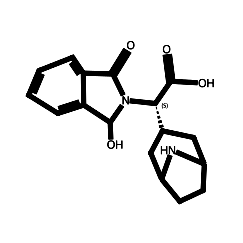 O=C(O)[C@H](C1CC2CCC(C1)N2)N1C(=O)c2ccccc2C1O